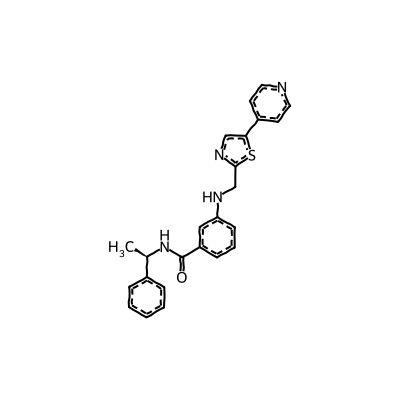 C[C@@H](NC(=O)c1cccc(NCc2ncc(-c3ccncc3)s2)c1)c1ccccc1